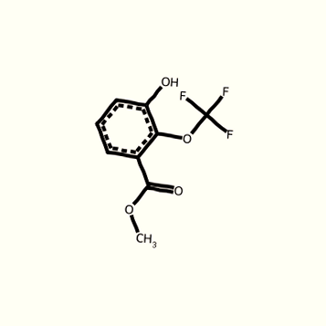 COC(=O)c1cccc(O)c1OC(F)(F)F